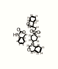 O=C1Nc2ccccc2CO1.O=S(=O)(Cc1noc2ccccc12)N1CCC(N2COCc3ccccc32)CC1